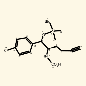 C#CCC[C@@H](NC(=O)O)[C@H](O[Si](C)(C)C(C)(C)C)c1ccc(Cl)cc1